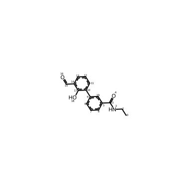 CCNC(=O)c1cccc(-c2cccc(C=O)c2O)c1